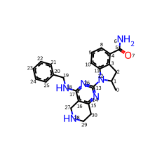 CC1Cc2c(C(N)=O)cccc2N1c1nc2c(c(NCc3ccccc3)n1)CNCC2